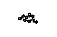 N=C(/N=C(\N=C\c1ccccc1)c1cccc2c1oc1c(C3=CCC4C(=C3)Sc3cccc(-n5c6ccccc6c6ccccc65)c34)cccc12)c1ccccc1